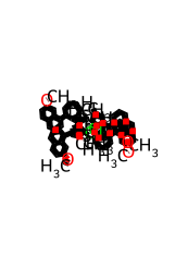 COc1ccc2cccc(C3C=CC=CC4=C3C=C(C)[C]43[SiH](C)[C]4(C(C)=CC5=C4C=CC=CC5c4cccc5ccc(OC)cc45)[Zr]34([Cl])([Cl])[C]3(C(C)=CC5=C3C=CC=CC5c3cccc5ccc(OC)cc35)[SiH](C)[C]43C(C)=CC4=C3C=CC=CC4c3cccc4ccc(OC)cc34)c2c1